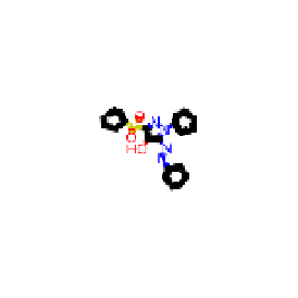 O=S(=O)(c1ccccc1)c1nn(-c2ccccc2)c(/N=N/c2ccccc2)c1O